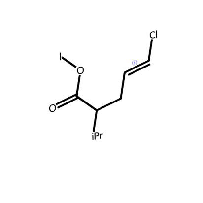 CC(C)C(C/C=C/Cl)C(=O)OI